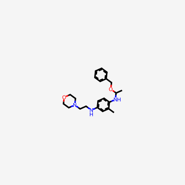 Cc1cc(NCCN2CCOCC2)ccc1NC(C)OCc1ccccc1